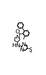 CSc1cnc(NC2CCN(C(=O)c3c(C)cccc3-c3ccccc3)C2)nc1